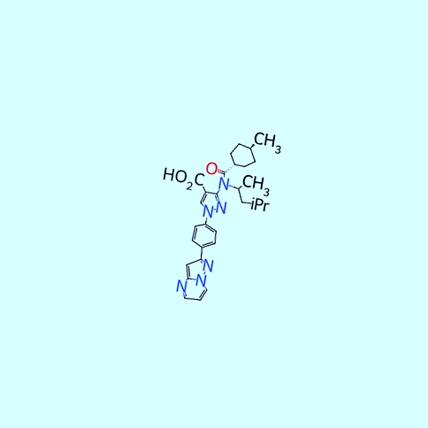 CC(C)CC(C)N(c1nn(-c2ccc(-c3cc4ncccn4n3)cc2)cc1C(=O)O)C(=O)[C@H]1CC[C@H](C)CC1